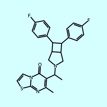 Cc1nc2sccn2c(=O)c1C(C)N1CC2C(C1)C(c1ccc(F)cc1)C2c1ccc(F)cc1